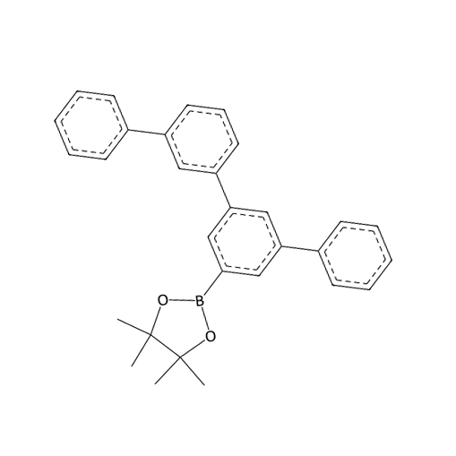 CC1(C)OB(c2cc(-c3ccccc3)cc(-c3cccc(-c4ccccc4)c3)c2)OC1(C)C